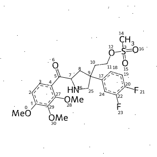 COc1ccc(C(=O)C2CC(CCOS(C)(=O)=O)(c3ccc(F)c(F)c3)CN2)c(OC)c1OC